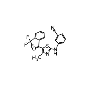 Cc1nc(Nc2cccc(C#N)c2)sc1C(=O)c1ccccc1C(F)(F)F